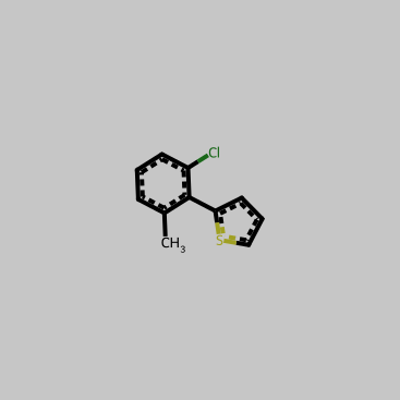 Cc1cccc(Cl)c1-c1cccs1